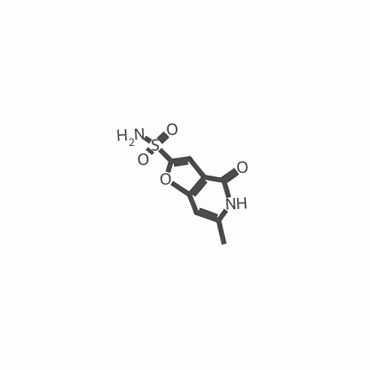 Cc1cc2oc(S(N)(=O)=O)cc2c(=O)[nH]1